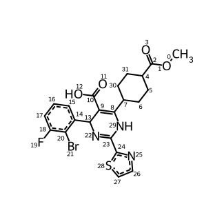 COC(=O)C1CCC(C2=C(C(=O)O)C(c3cccc(F)c3Br)N=C(c3nccs3)N2)CC1